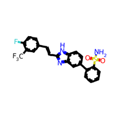 NS(=O)(=O)c1ccccc1-c1ccc2[nH]c(C=Cc3ccc(F)c(C(F)(F)F)c3)nc2c1